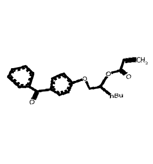 C=CC(=O)OC(CCCC)COc1ccc(C(=O)c2ccccc2)cc1